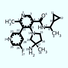 Cc1ncc(C(=O)NC(C)C2CC2)c(N2CC[C@](C)(N)C2)c1-c1cncc(F)c1